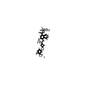 CC(O[Si](C)(C)C(C)(C)C)c1cc(F)c(CN[C@H]2C[C@H](Oc3ccc(F)c(C(F)(F)F)c3)C2)c2ccncc12